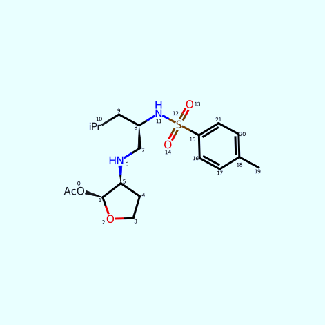 CC(=O)O[C@@H]1OCC[C@@H]1NC[C@@H](CC(C)C)NS(=O)(=O)c1ccc(C)cc1